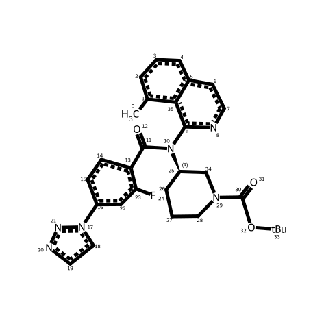 Cc1cccc2ccnc(N(C(=O)c3ccc(-n4ccnn4)cc3F)[C@@H]3CCCN(C(=O)OC(C)(C)C)C3)c12